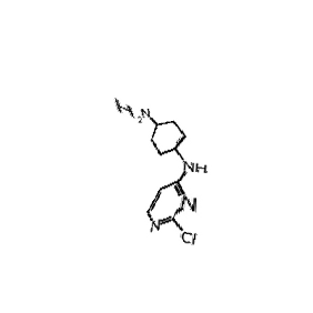 NC1CCC(Nc2ccnc(Cl)n2)CC1